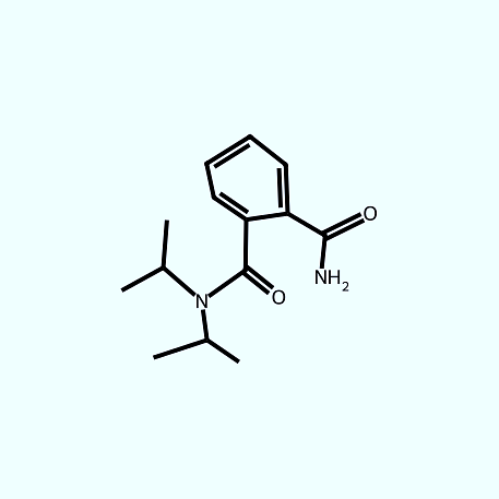 CC(C)N(C(=O)c1ccccc1C(N)=O)C(C)C